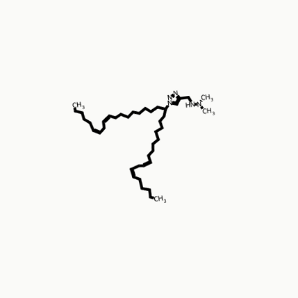 CCCCC/C=C\C/C=C\CCCCCCCCC(CCCCCCCC/C=C\C/C=C\CCCCC)n1cc(CNN(C)C)nn1